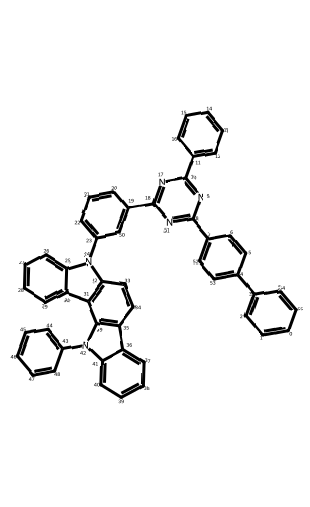 c1ccc(-c2ccc(-c3nc(-c4ccccc4)nc(-c4cccc(-n5c6ccccc6c6c5ccc5c7ccccc7n(-c7ccccc7)c56)c4)n3)cc2)cc1